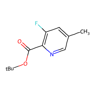 Cc1cnc(C(=O)OC(C)(C)C)c(F)c1